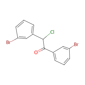 O=C(c1cccc(Br)c1)C(Cl)c1cccc(Br)c1